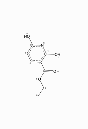 CCOC(=O)c1ccc(O)nc1O